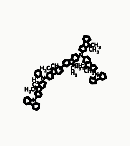 CC1(C)c2ccccc2-c2ccc(N(c3ccc4c(c3)C(C)(C)c3cc(-c5ccc6c(c5)C(C)(C)c5cc(N(c7ccccc7)c7ccc8c(c7)C(C)(C)c7cc(-n9c%10ccccc%10c%10ccccc%109)ccc7-8)ccc5-6)ccc3-4)c3ccc4c(c3)C(C)(C)c3cc(-n5c6ccccc6c6ccccc65)ccc3-4)cc21